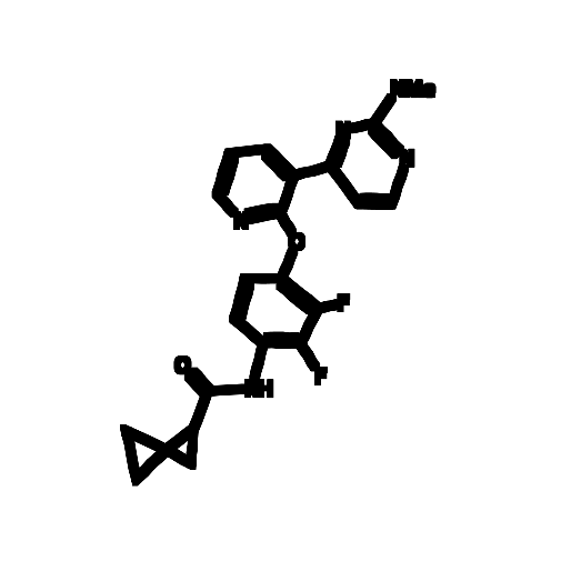 CNc1nccc(-c2cccnc2Oc2ccc(NC(=O)C3CC34CC4)c(F)c2F)n1